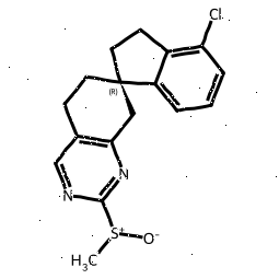 C[S+]([O-])c1ncc2c(n1)C[C@@]1(CC2)CCc2c(Cl)cccc21